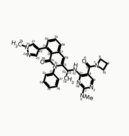 CNc1ncc(C(=O)N2CCC2)c(N[C@@H](C)c2cc3cccc(-c4cnn(C)c4)c3c(=O)n2-c2ccccc2)n1